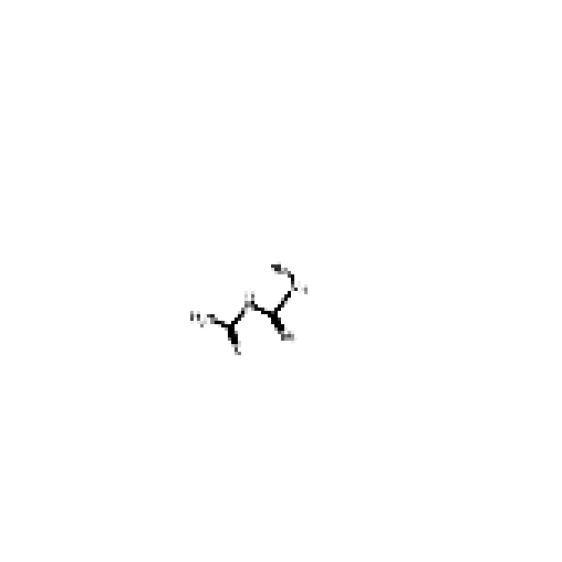 CCCCNC(=N)NC(N)=S